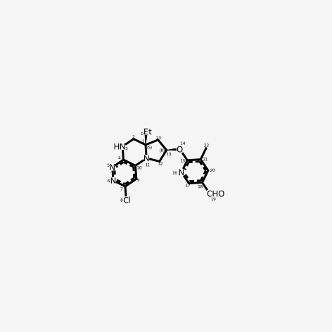 CC[C@]12CNc3nnc(Cl)cc3N1C[C@H](Oc1ncc(C=O)cc1C)C2